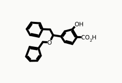 O=C(O)c1ccc(C(Cc2ccccc2)OCc2ccccc2)cc1O